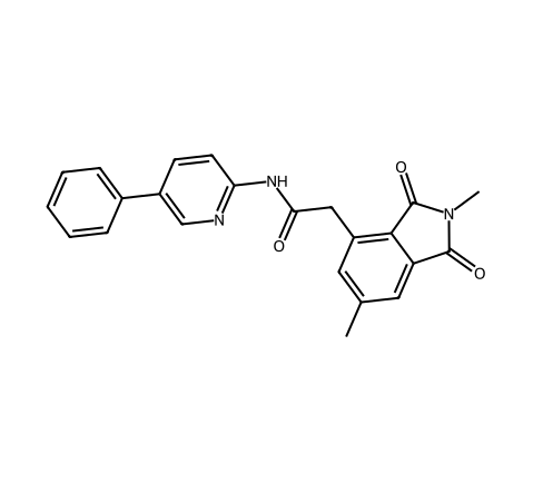 Cc1cc(CC(=O)Nc2ccc(-c3ccccc3)cn2)c2c(c1)C(=O)N(C)C2=O